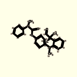 CN(C(=O)Oc1ccc(N(C)c2ncccc2C(C)(C)C=O)cc1)c1ccccc1